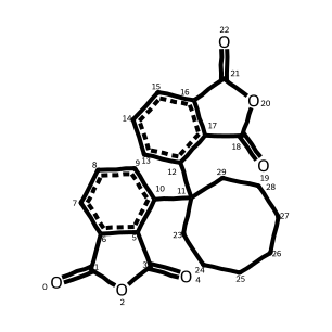 O=C1OC(=O)c2c1cccc2C1(c2cccc3c2C(=O)OC3=O)CCCCCCC1